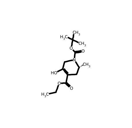 CCOC(=O)C1=C(O)CN(C(=O)OC(C)(C)C)[C@H](C)C1